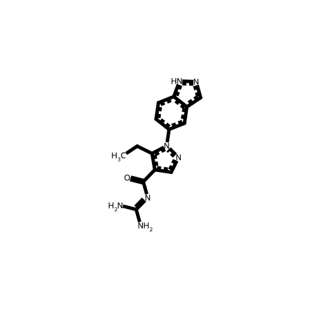 CCc1c(C(=O)N=C(N)N)cnn1-c1ccc2[nH]ncc2c1